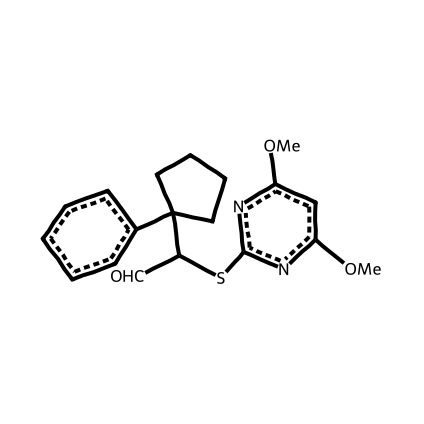 COc1cc(OC)nc(SC(C=O)C2(c3ccccc3)CCCC2)n1